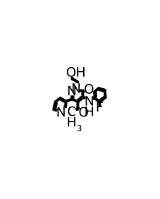 CC(=O)c1c(-c2cccnc2)nn(CCO)c(=O)c1Nc1ccccc1F